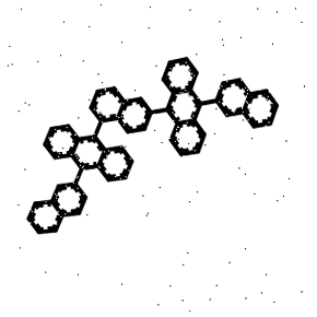 c1ccc2cc(-c3c4ccccc4c(-c4ccc5c(-c6c7ccccc7c(-c7ccc8ccccc8c7)c7ccccc67)cccc5c4)c4ccccc34)ccc2c1